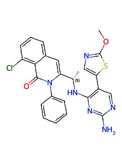 COc1ncc(-c2cnc(N)nc2N[C@@H](C)c2cc3cccc(Cl)c3c(=O)n2-c2ccccc2)s1